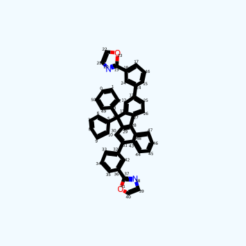 c1ccc(C2(c3ccccc3)c3cc(-c4cccc(-c5ncco5)c4)ccc3-c3c2cc(-c2cccc(-c4ncco4)c2)c2ccccc32)cc1